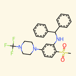 CS(=O)(=O)c1ccc(N2CCN(C(F)(F)F)CC2)cc1NC(c1ccccc1)c1ccccc1